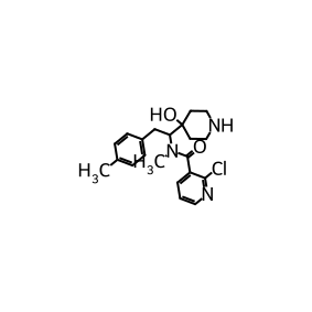 Cc1ccc(CC(N(C)C(=O)c2cccnc2Cl)C2(O)CCNCC2)cc1